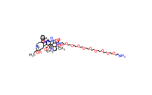 CC[C@]1(O)CC2CN(CCc3c([nH]c4ccccc34)[C@@](C(=O)OC)(c3cc4c(cc3OC)N[C@H]3C(O)(C(=O)NCCOCCOCCOCCOCCOCCOCCOCCOCCOCCN)[C@H](O)[C@]5(CC)C=CCN6CCC43[C@@H]65)C2)C1